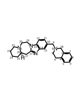 c1ccc2c(c1)CCN(Cc1ccc3c(c1)nc1n3CCN3CCCC[C@@H]3C1)C2